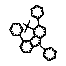 CC(C)(C)c1c(-c2ccccc2)ccc2c1c1c(-c3ccccc3)cccc1n2-c1ccccc1